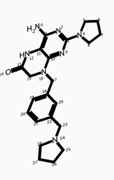 Nc1nc(N2CCCC2)nc2c1NC(=O)CN2Cc1cccc(CN2CCCC2)c1